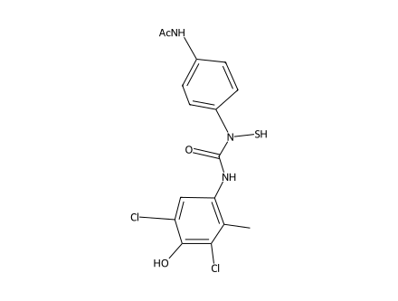 CC(=O)Nc1ccc(N(S)C(=O)Nc2cc(Cl)c(O)c(Cl)c2C)cc1